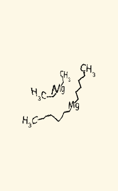 CCCCC[CH2][Mg][CH2]CCCCC.C[CH2][Mg][CH2]C